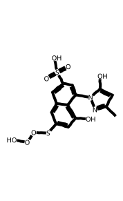 Cc1cc(O)n(-c2cc(S(=O)(=O)O)cc3cc(SOOO)cc(O)c23)n1